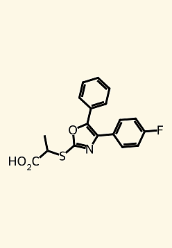 CC(Sc1nc(-c2ccc(F)cc2)c(-c2ccccc2)o1)C(=O)O